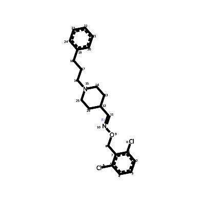 Clc1cccc(Cl)c1CO/N=C/C1CCN(CCCc2ccccc2)CC1